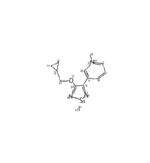 C[n+]1cccc(-c2nsnc2OCC2CC2)c1.[I-]